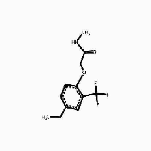 CCc1ccc(OCC(=O)NC)c(C(F)(F)F)c1